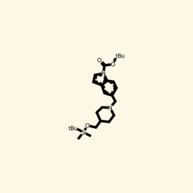 CC(C)(C)OC(=O)n1ccc2cc(CN3CCC(CO[Si](C)(C)C(C)(C)C)CC3)ccc21